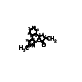 C=C1CC(c2cnccc2-c2cnn(C)c2)OC1=O